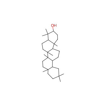 CC1(C)CCC2(C)CCC3(C)C(CCC4C5(C)CCC(O)C(C)(C)C5CCC43C)C2C1